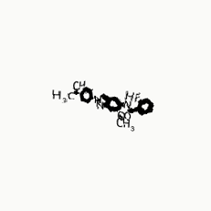 COc1cc2nn([C@H]3CC[C@H](C(C)C)CC3)cc2cc1NC(=O)c1ccccc1F